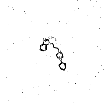 Cc1nc2ccccc2n1CCCN1CCN(c2ccccc2)CC1